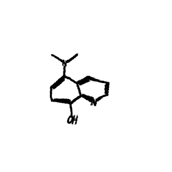 CN(C)c1ccc(O)c2ncccc12